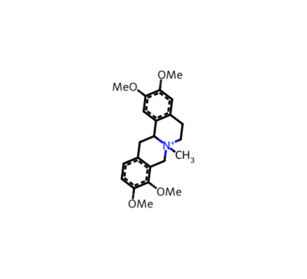 COc1cc2c(cc1OC)C1Cc3ccc(OC)c(OC)c3C[N+]1(C)CC2